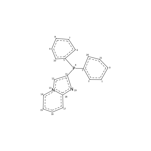 c1ccc(P(c2ccccc2)c2cn3ccccc3n2)cc1